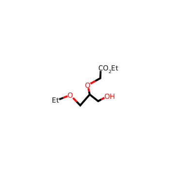 CCOCC(CO)OCC(=O)OCC